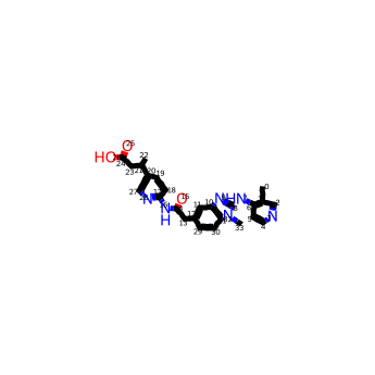 Cc1cnccc1Nc1nc2cc(CC(=O)Nc3ccc(C(C)CC(=O)O)cn3)ccc2n1C